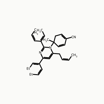 C/C=C\CC1=C=C(C(/C=C\CC)=C/CC)N=C(C(/C=C\C)=C/C)N1C1(C)C=CC(C#N)=CC1